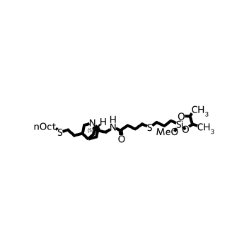 CCCCCCCCSCCC1CN2CCC1C[C@H]2CNC(=O)CCCSCCC[Si]1(OC)OC(C)C(C)O1